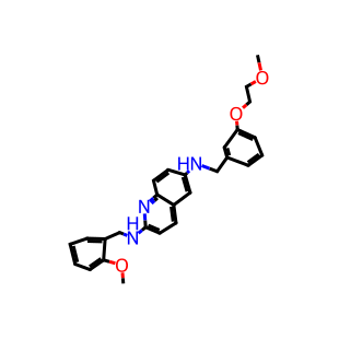 COCCOc1cccc(CNc2ccc3nc(NCc4ccccc4OC)ccc3c2)c1